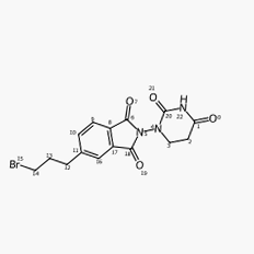 O=C1CCN(N2C(=O)c3ccc(CCCBr)cc3C2=O)C(=O)N1